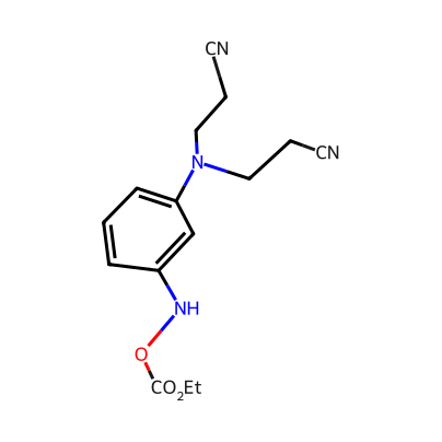 CCOC(=O)ONc1cccc(N(CCC#N)CCC#N)c1